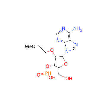 COCCOC1[C@@H](O[PH](=O)O)[C@@H](CO)O[C@H]1n1cnc2c(N)ncnc21